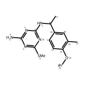 CSc1nc(N)nc(NC(C)c2ccc(OC(C)C)c(C)c2)n1